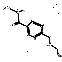 CON(C)C(=O)c1ccc(COCC(C)(C)C)cc1